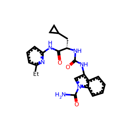 CCc1cccc(NC(=O)[C@H](CC2CC2)NC(=O)Nc2cn(C(N)=O)c3ccccc23)n1